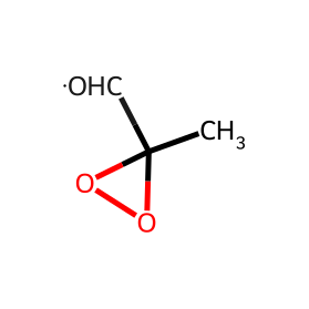 CC1([C]=O)OO1